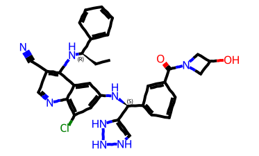 CC[C@@H](Nc1c(C#N)cnc2c(Cl)cc(N[C@H](C3=CNNN3)c3cccc(C(=O)N4CC(O)C4)c3)cc12)c1ccccc1